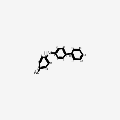 CC(=O)c1ccc(Nc2ccc(-c3ccccc3)cc2)cc1